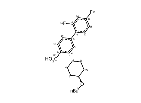 CCCCO[C@H]1CC[C@H](c2cc(-c3ccc(F)cc3F)ccc2C(=O)O)CC1